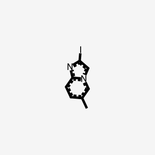 Cc1ccc2nc(I)cn2c1